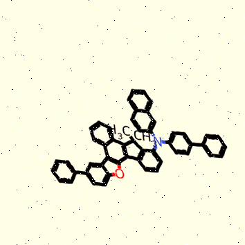 CC1(C)c2c(cccc2N(c2ccc(-c3ccccc3)cc2)c2ccc3ccccc3c2)-c2c1c1ccccc1c1c2oc2ccc(-c3ccccc3)cc21